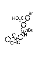 CCCCc1nc2c(n1Cc1ccc(-c3ccc(Br)cc3C(=O)O)cc1)CC(=NC(=O)[C@@H]1CCCC[C@@H]1C=O)C=C2